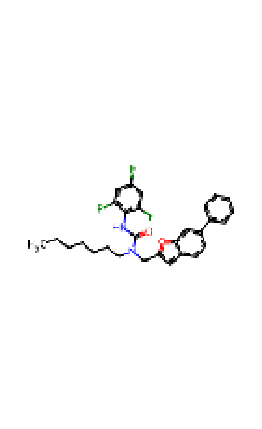 CCCCCCCN(Cc1cc2ccc(-c3ccccc3)cc2o1)C(=O)Nc1c(F)cc(F)cc1F